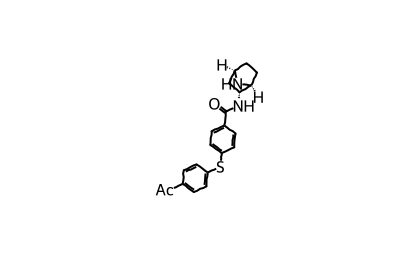 CC(=O)c1ccc(Sc2ccc(C(=O)N[C@@H]3C[C@H]4CC[C@@H]3N4)cc2)cc1